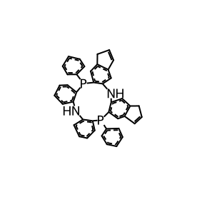 C1=Cc2cc3c(cc2C1)Nc1cc2c(cc1P(c1ccccc1)c1ccccc1Nc1ccccc1P3c1ccccc1)CC=C2